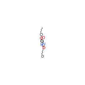 CCCCCC1CCC(C(=O)Oc2ccc(-c3ncc(OCCCCCC4CCCC4)cn3)cc2)CC1